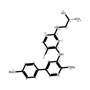 COc1ccc(-c2cnc(OC)c(Nc3nc(NC[C@@H](C)O)ncc3F)c2)cc1